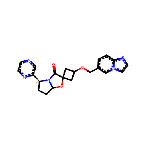 O=C1N2C(CC[C@H]2c2cnccn2)OC12CC(OCc1ccc3nccn3c1)C2